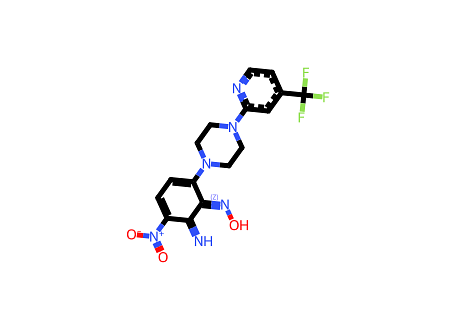 N=C1C([N+](=O)[O-])=CC=C(N2CCN(c3cc(C(F)(F)F)ccn3)CC2)/C1=N/O